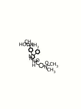 CCC(=O)N(CC)C1CCC(CC(=O)Nc2cc(-c3ccccc3)c(-c3ccc(C4(N)CC(C)(O)C4)cc3)nn2)CC1